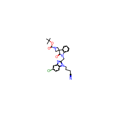 CC(C)(C)OC(=O)N1CC2(C1)C(=O)N(Cc1nc3cc(Cl)ccc3n1CCCC#N)c1ccccc12